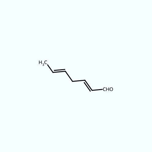 CC=CCC=CC=O